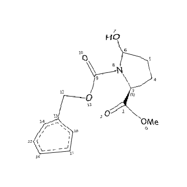 COC(=O)[C@@H]1CCC(O)N1C(=O)OCc1ccccc1